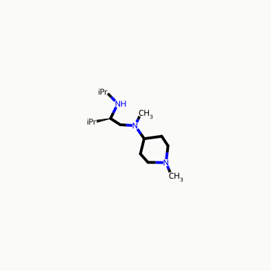 CC(C)N[C@@H](CN(C)C1CCN(C)CC1)C(C)C